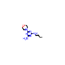 CCCCNc1nc(N)nc(N2CCOCC2)n1